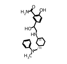 CN(C[C@H]1CCC[C@H](NCC(O)c2ccc(O)c(C(N)=O)c2)C1)c1ccccc1